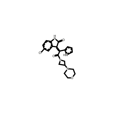 O=C1Nc2ccc(Cl)cc2C1=C(C(=O)N1CC(N2CCOCC2)C1)c1ccc[nH]1